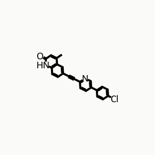 Cc1cc(=O)[nH]c2ccc(C#Cc3ccc(-c4ccc(Cl)cc4)cn3)cc12